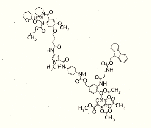 C=CCOC(=O)N1c2cc(OCCCC(=O)Nc3cc(C(=O)Nc4ccc(NC(=O)OCc5ccc(O[C@@H]6O[C@H](C(=O)OC)[C@@H](OC(C)=O)[C@H](OC(C)=O)[C@H]6OC(C)=O)c(NC(=O)CCNC(=O)OCC6c7ccccc7-c7ccccc76)c5)cc4)n(C)c3)c(OC)cc2C(=O)N2CCCC[C@H]2C1OC1CCCCO1